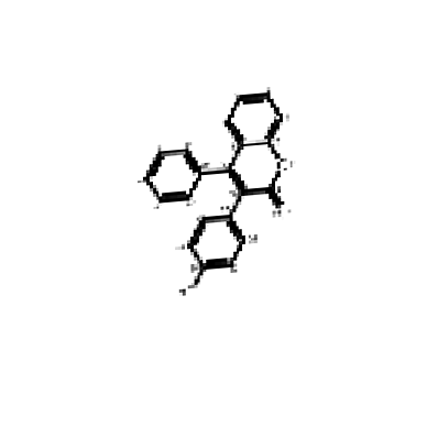 O=c1oc2ccccc2c(-c2ccccc2)c1-c1ccc(F)cc1